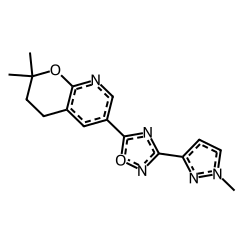 Cn1ccc(-c2noc(-c3cnc4c(c3)CCC(C)(C)O4)n2)n1